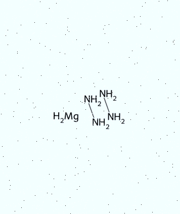 NN.NN.[MgH2]